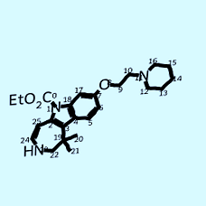 CCOC(=O)n1c2c(c3ccc(OCCN4CCCCC4)cc31)C(C)(C)CNC=C2